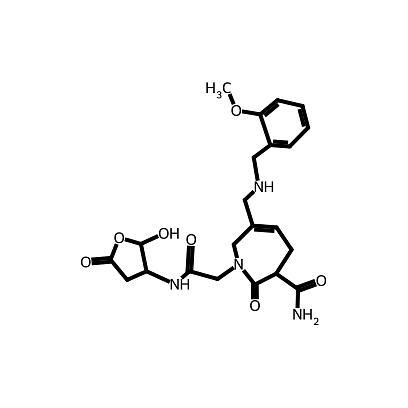 COc1ccccc1CNCC1=CCC(C(N)=O)C(=O)N(CC(=O)NC2CC(=O)OC2O)C1